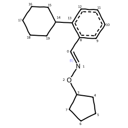 [C](=N\OC1CCCC1)/c1ccccc1C1CCCCC1